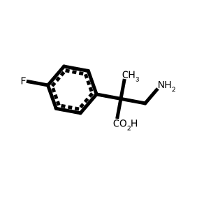 CC(CN)(C(=O)O)c1ccc(F)cc1